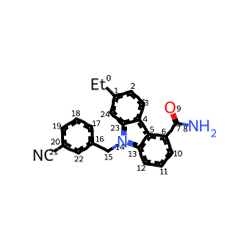 CCc1c[c]c2c3c(C(N)=O)cccc3n(Cc3cccc(C#N)c3)c2c1